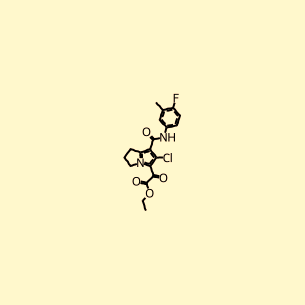 CCOC(=O)C(=O)c1c(Cl)c(C(=O)Nc2ccc(F)c(C)c2)c2n1CCC2